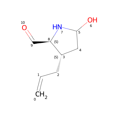 C=CC[C@H]1CC(O)N[C@@H]1C=O